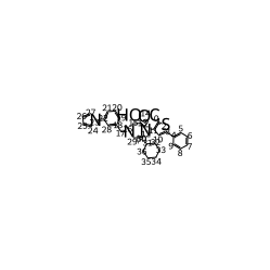 O=C(O)c1sc(-c2ccccc2)cc1N1C(=O)CN(Cc2cccc(-n3cccc3)c2)C[C@H]1C1CCCCC1